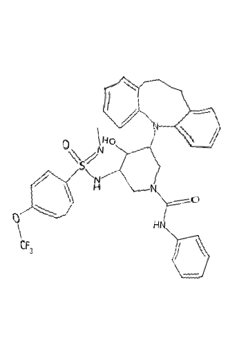 CN=S(=O)(NC1CN(C(=O)Nc2ccccc2)CC(N2c3ccccc3CCc3ccccc32)C1O)c1ccc(OC(F)(F)F)cc1